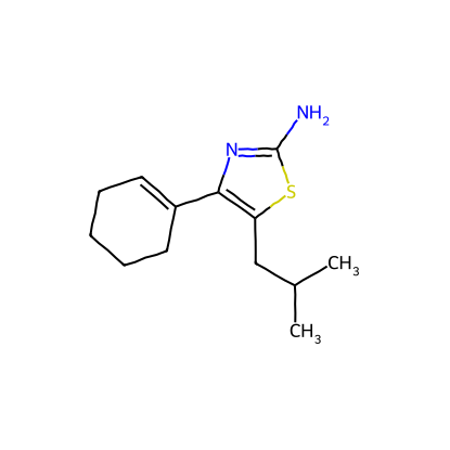 CC(C)Cc1sc(N)nc1C1=CCCCC1